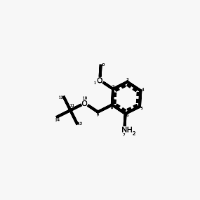 COc1cccc(N)c1COC(C)(C)C